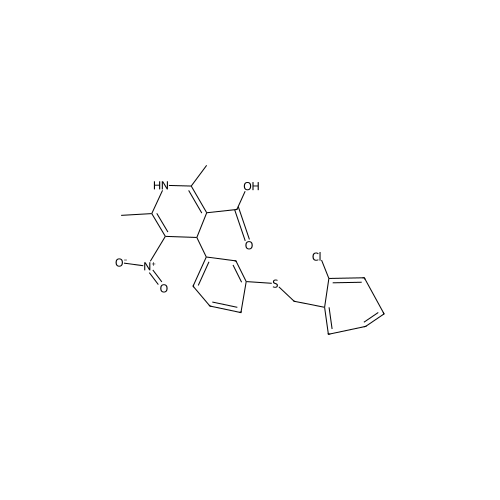 CC1=C(C(=O)O)C(c2cccc(SCc3ccccc3Cl)c2)C([N+](=O)[O-])=C(C)N1